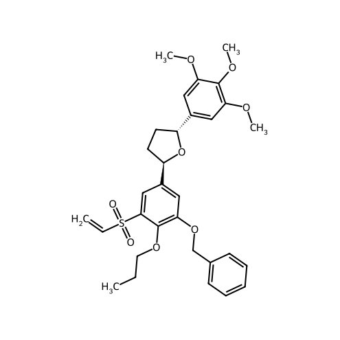 C=CS(=O)(=O)c1cc([C@H]2CC[C@H](c3cc(OC)c(OC)c(OC)c3)O2)cc(OCc2ccccc2)c1OCCC